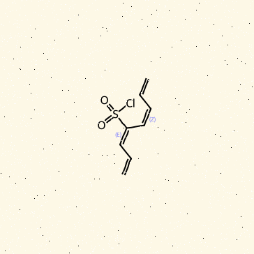 C=C/C=C\C(=C/C=C)S(=O)(=O)Cl